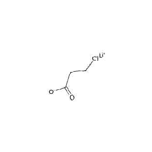 O=C([O-])CCCl.[Li+]